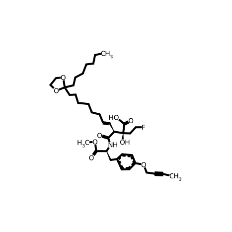 CC#CCOc1ccc(C[C@H](NC(=O)[C@@H](C=CCCCCCCC2(CCCCCCC)OCCO2)[C@@](O)(CCF)C(=O)O)C(=O)OC)cc1